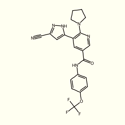 N#Cc1cc(-c2cc(C(=O)Nc3ccc(OC(F)(F)F)cc3)cnc2N2CCCC2)[nH]n1